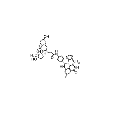 Cn1ncnc1[C@H]1c2n[nH]c(=O)c3cc(F)cc(c23)N[C@@H]1c1ccc(NC(=O)CCC2Cc3cc(O)ccc3[C@H]3CC[C@]4(C)[C@@H](O)CC[C@H]4[C@H]23)cc1